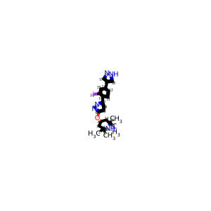 CC1(C)CC(Oc2ccc(-c3ccc(-c4cn[nH]c4)cc3I)nn2)CC(C)(C)N1